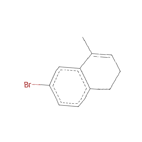 CC1=CCCc2ccc(Br)cc21